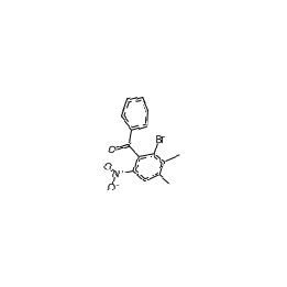 Cc1cc([N+](=O)[O-])c(C(=O)c2ccccc2)c(Br)c1C